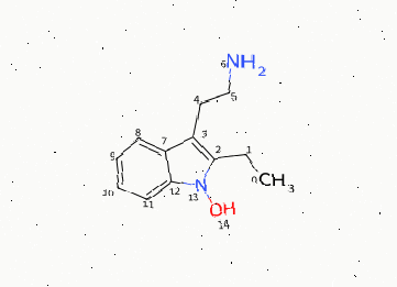 CCc1c(CCN)c2ccccc2n1O